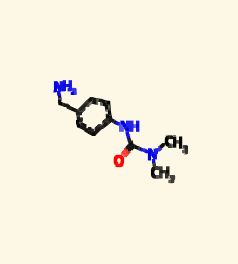 CN(C)C(=O)Nc1ccc(CN)cc1